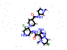 CN1CCC(NC(=O)C2CCN(C3C(F)CNCC3NC(=O)c3c(N)nn4c3N(C)CC(F)C4)CC2)C1